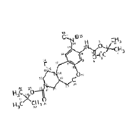 CC(C)(C)OC(=O)Nc1cc2c(cc1[N+](=O)[O-])CN1C(CCO2)CN(C(=O)OC(C)(C)C)C[C@@H]1F